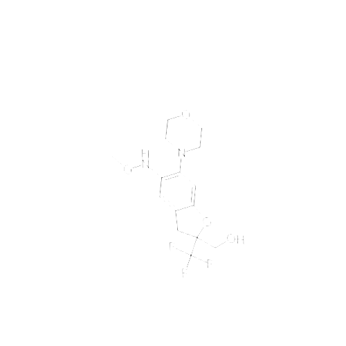 CONc1cc2c(cc1N1CCOCC1)OC(CO)(C(F)(F)F)C2